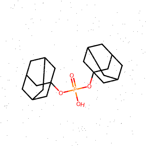 O=P(O)(OC12CC3CC(CC(C3)C1)C2)OC12CC3CC(CC(C3)C1)C2